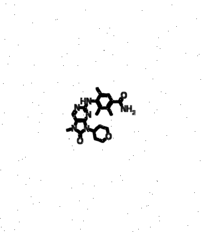 Cc1cc(C(N)=O)c(C)c(C)c1Nc1ncc2c(n1)n(C1CCOCC1)c(=O)n2C